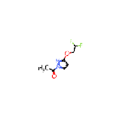 CC(=O)n1ccc(OCC(F)F)n1